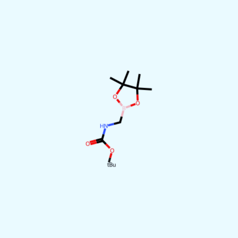 CC(C)(C)OC(=O)NCB1OC(C)(C)C(C)(C)O1